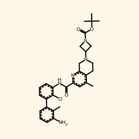 Cc1cc(C(=O)Nc2cccc(-c3cccc(N)c3C)c2Cl)nc2c1CCN(C1CN(C(=O)OC(C)(C)C)C1)C2